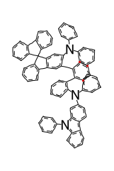 c1ccc(N(c2ccc3c4ccccc4n(-c4ccccc4)c3c2)c2ccccc2-c2ccccc2-c2cc3c(cc2N(c2ccccc2)c2ccccc2)C2(c4ccccc4-c4ccccc42)c2ccccc2-3)cc1